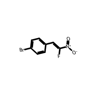 O=[N+]([O-])C(F)=Cc1ccc(Br)cc1